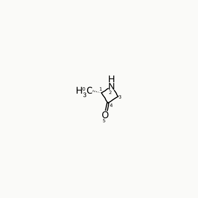 C[C@@H]1NCC1=O